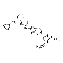 COc1cc(N2CCc3nc(NC(=O)N[C@@H]4CCCC[C@H]4OCc4ccccc4)sc3C2)nc(OC)n1